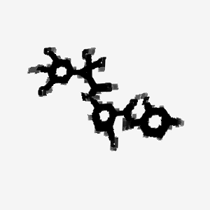 O=C(Nc1ccc(F)cc1F)c1cc(NC(=O)C2C(c3cc(Cl)c(F)c(Cl)c3)C2(Cl)Cl)ccc1Cl